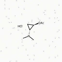 CC(=O)O[C@@H]1C[C@H]1N(C)C.Cl